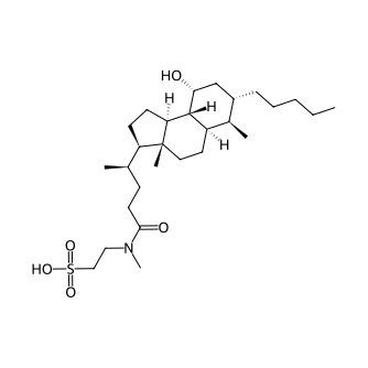 CCCCC[C@H]1C[C@@H](O)[C@@H]2[C@H](CC[C@]3(C)[C@@H]([C@H](C)CCC(=O)N(C)CCS(=O)(=O)O)CC[C@@H]23)[C@@H]1C